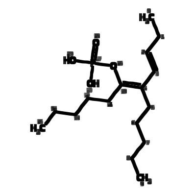 CCC=CC(CCCCC)=C(CCCCC)OP(=O)(O)O